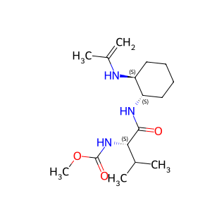 C=C(C)N[C@H]1CCCC[C@@H]1NC(=O)[C@@H](NC(=O)OC)C(C)C